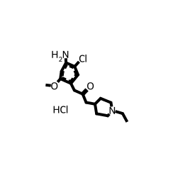 CCN1CCC(CC(=O)Cc2cc(Cl)c(N)cc2OC)CC1.Cl